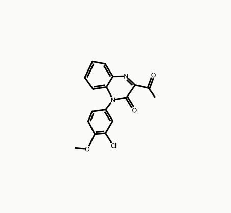 COc1ccc(-n2c(=O)c(C(C)=O)nc3ccccc32)cc1Cl